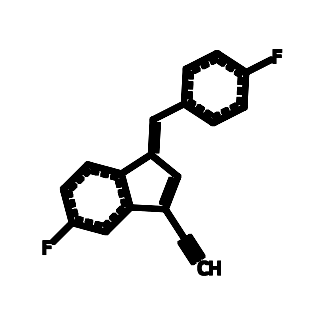 C#CC1=CC(=Cc2ccc(F)cc2)c2ccc(F)cc21